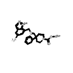 CC(C)(C)OC(=O)N1CCC(COCc2cc(C(F)(F)F)cc3cn[nH]c23)(c2ccccc2)CC1